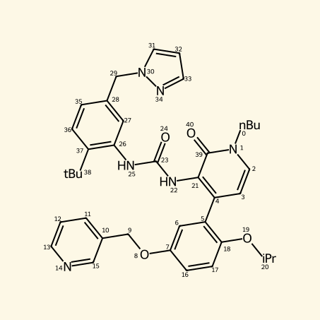 CCCCn1ccc(-c2cc(OCc3cccnc3)ccc2OC(C)C)c(NC(=O)Nc2cc(Cn3cccn3)ccc2C(C)(C)C)c1=O